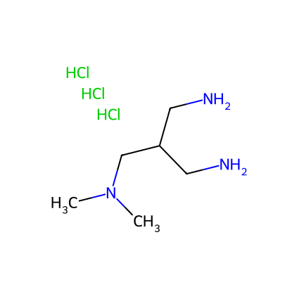 CN(C)CC(CN)CN.Cl.Cl.Cl